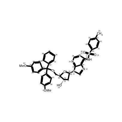 COc1ccc(C(OC[C@H]2O[C@@H](n3cnc4c(NS(=O)(=O)c5ccc(C)cc5)ncnc43)C[C@@H]2O)(c2ccccc2)c2ccc(OC)cc2)cc1